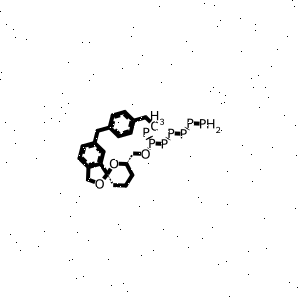 CCc1ccc(Cc2ccc3c(c2)[C@]2(CCC[C@@H](COP(#P)P=PP=PP)O2)OC3)cc1